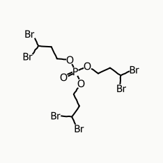 O=P(OCCC(Br)Br)(OCCC(Br)Br)OCCC(Br)Br